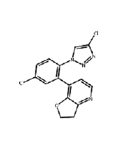 Clc1ccc(-n2cc(Cl)nn2)c(-c2ccnc3c2OCC3)c1